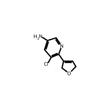 Nc1cnc(C2=CCOC2)c(Cl)c1